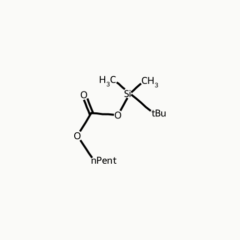 CCCCCOC(=O)O[Si](C)(C)C(C)(C)C